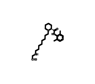 Cc1cccc(C)c1NC(=O)[C@H]1CCCCN1CCCCCCCCNCC=O